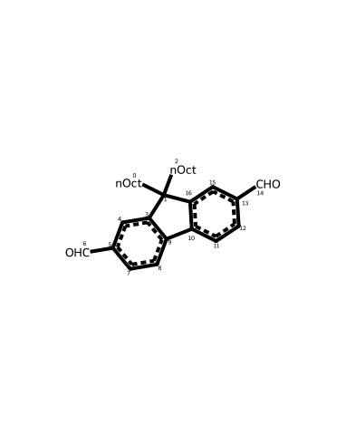 CCCCCCCCC1(CCCCCCCC)c2cc(C=O)ccc2-c2ccc(C=O)cc21